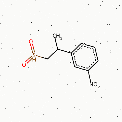 CC(C[SH](=O)=O)c1cccc([N+](=O)[O-])c1